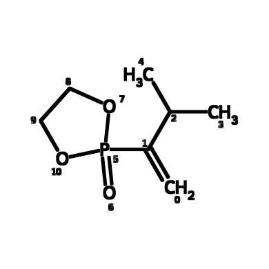 C=C(C(C)C)P1(=O)OCCO1